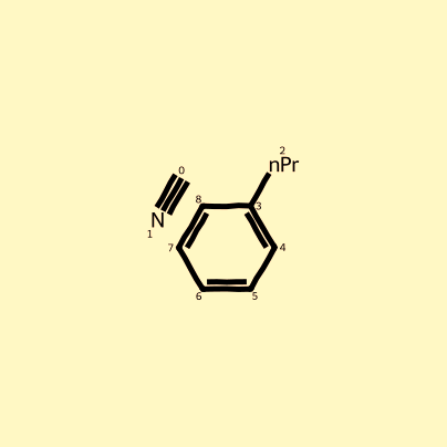 C#N.CCCc1ccccc1